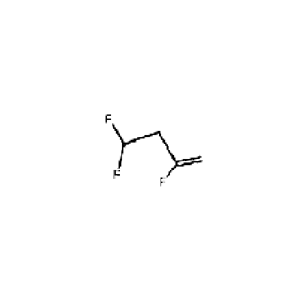 C=C(F)CC(F)F